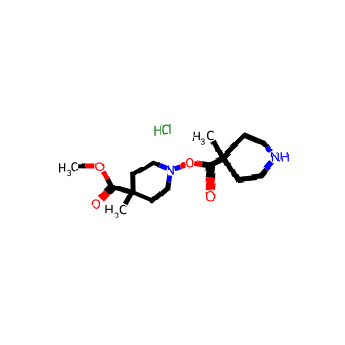 COC(=O)C1(C)CCN(OC(=O)C2(C)CCNCC2)CC1.Cl